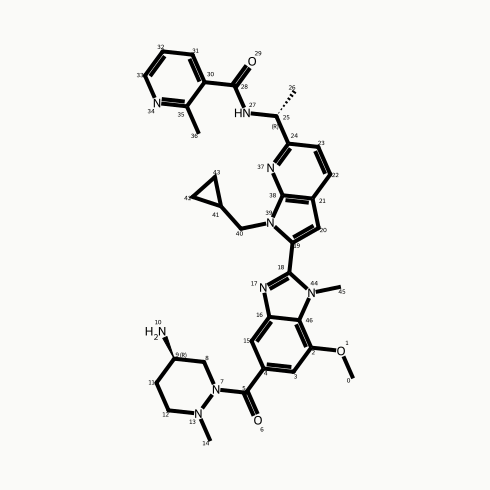 COc1cc(C(=O)N2C[C@H](N)CCN2C)cc2nc(-c3cc4ccc([C@@H](C)NC(=O)c5cccnc5C)nc4n3CC3CC3)n(C)c12